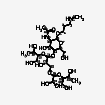 CNCCCOC1OC(CO)C(OC(OC(CO)[C@@H](C)O)[C@@H](O)COC(OC(CO)[C@@H](C)O)C(O)O)C(O)C1NC(C)=O